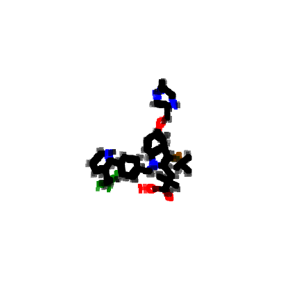 Cc1cnc(COc2ccc3c(c2)c(SC(C)(C)C)c(CC(C)(C)C(=O)O)n3Cc2ccc(-c3ncccc3C(F)(F)F)cc2)cn1